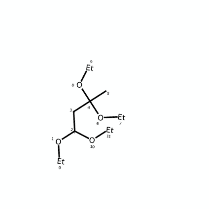 CCO[C](CC(C)(OCC)OCC)OCC